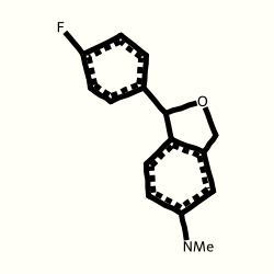 CNc1ccc2c(c1)COC2c1ccc(F)cc1